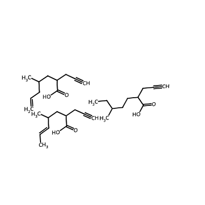 C#CCC(CC(C)C=CC)C(=O)O.C#CCC(CC(C)CC=C)C(=O)O.C#CCC(CCC(C)CC)C(=O)O